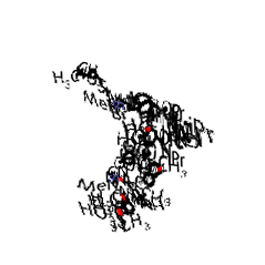 CC(C)C[C@H]1C(=O)N2CCC[C@H]2[C@]2(O)O[C@](NC(=O)[C@@H]3C=C4c5cccc6[nH]c(Br)c(c56)C[C@H]4N(C)C3)(C(C)C)C(=O)N12.CC(C)NCC(O)c1ccc(O)c(O)c1.CC[C@H](C)C(=O)O[C@H]1C[C@@H](C)C=C2C=C[C@H](C)[C@H](CC[C@@H]3C[C@@H](O)CC(=O)O3)[C@H]21.CN/C(=C/[N+](=O)[O-])NCCSCc1ccc(CN(C)C)o1.CN/C(=N/C#N)NCCSCc1nc[nH]c1C.CNC1(C)C2CCC(C2)C1(C)C.CS(=O)(=O)O